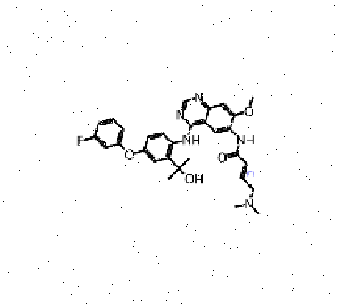 COc1cc2ncnc(Nc3ccc(Oc4cccc(F)c4)cc3C(C)(C)O)c2cc1NC(=O)/C=C/CN(C)C